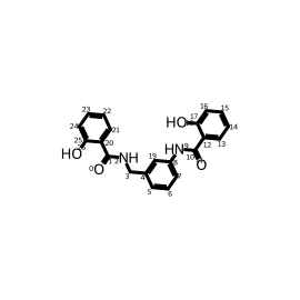 O=C(NCc1cccc(NC(=O)c2ccccc2O)c1)c1ccccc1O